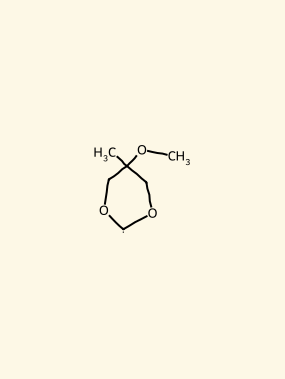 COC1(C)CO[CH]OC1